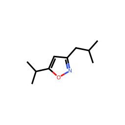 CC(C)Cc1cc(C(C)C)on1